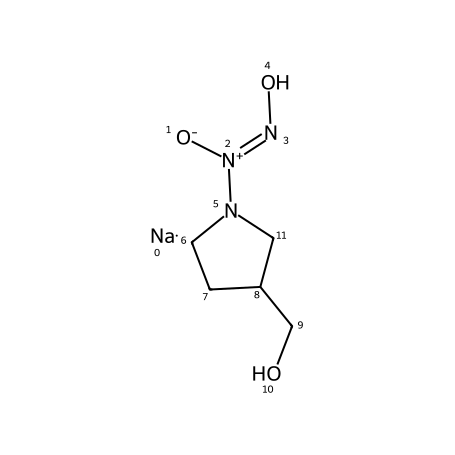 [Na].[O-][N+](=NO)N1CCC(CO)C1